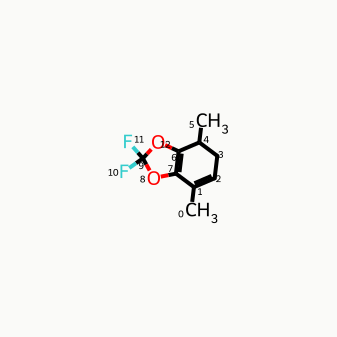 CC1=CCC(C)C2=C1OC(F)(F)O2